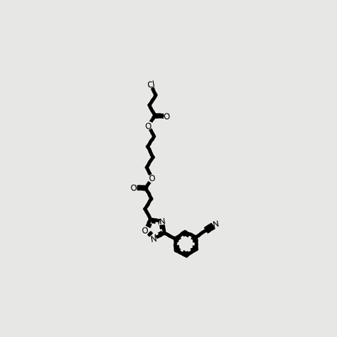 N#Cc1cccc(-c2noc(CCC(=O)OCCCCOC(=O)CCCl)n2)c1